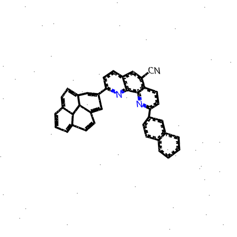 N#Cc1cc2ccc(C3=CC4=CC=C5C=CC=C6C=CC(=C3)C4C65)nc2c2nc(-c3ccc4ccccc4c3)ccc12